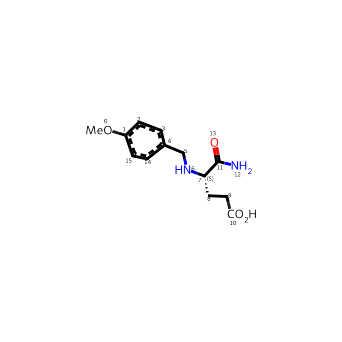 COc1ccc(CN[C@@H](CCC(=O)O)C(N)=O)cc1